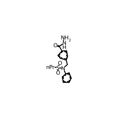 CCCS(=O)(=O)N(Cc1ccc(C(=O)NN)cc1)c1ccccc1